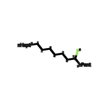 CCCCCCCCCCCCC[C](F)CCCCC